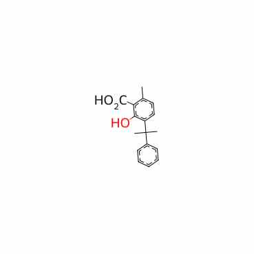 Cc1ccc(C(C)(C)c2ccccc2)c(O)c1C(=O)O